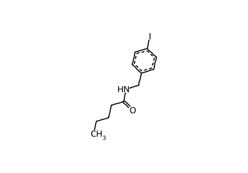 CCCCC(=O)NCc1ccc(I)cc1